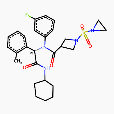 Cc1ccccc1[C@@H](C(=O)NC1CCCCC1)N(C(=O)C1CN(S(=O)(=O)N2CC2)C1)c1cccc(F)c1